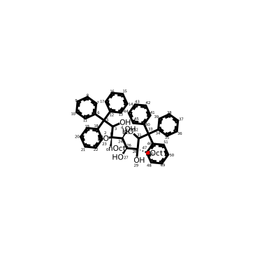 CCCCCCCC[C@@](O)(C(O)C(c1ccccc1)(c1ccccc1)c1ccccc1)[C@@H](O)[C@H](O)[C@@](O)(CCCCCCCC)C(O)C(c1ccccc1)(c1ccccc1)c1ccccc1